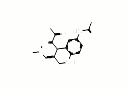 CC(=O)Nc1ccc2c(c1)C(C(=O)C(C)=O)/C(=C\N(C)C)CN2